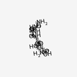 NCC(=O)NCC(=O)N[C@@H](CS)C(=O)NCCCCS(=O)(=O)c1cc(C[C@H](N)C(=O)O)ccc1O